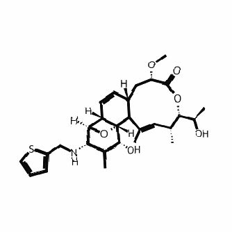 CO[C@H]1C[C@H]2C=C[C@H]3[C@H]4O[C@]2(/C(C)=C/[C@@H](C)[C@@H]([C@@H](C)O)OC1=O)[C@@H]3[C@H](O)C(C)[C@@H]4NCc1cccs1